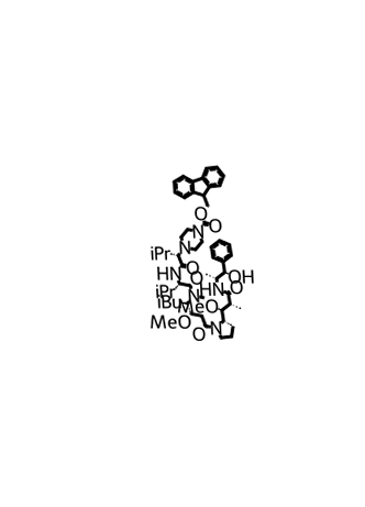 CC[C@H](C)[C@@H](C(CC(=O)N1CCC[C@H]1[C@H](OC)[C@@H](C)C(=O)N[C@H](C)[C@@H](O)c1ccccc1)OC)N(C)C(=O)[C@@H](NC(=O)[C@H](C(C)C)N1CCN(C(=O)OCC2c3ccccc3-c3ccccc32)CC1)C(C)C